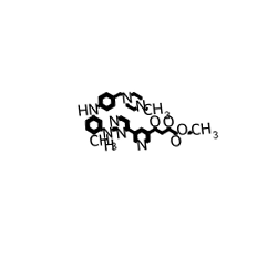 CCOC(=O)C(=O)CC(=O)c1cncc(-c2ccnc(Nc3cc(Nc4ccc(CN5CCN(C)CC5)cc4)ccc3C)n2)c1